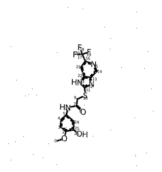 COc1ccc(NC(=O)CSc2nc3cnc(C(F)(F)F)cc3[nH]2)cc1O